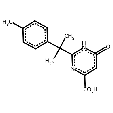 Cc1ccc(C(C)(C)c2nc(C(=O)O)cc(=O)[nH]2)cc1